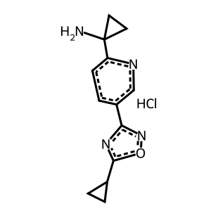 Cl.NC1(c2ccc(-c3noc(C4CC4)n3)cn2)CC1